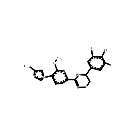 COc1nc(C2=NOCC(c3cc(F)c(Cl)c(F)c3)N2)ccc1-n1cnc(C)c1